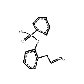 C=CCc1ccccc1OP(=O)(O)c1ccccc1